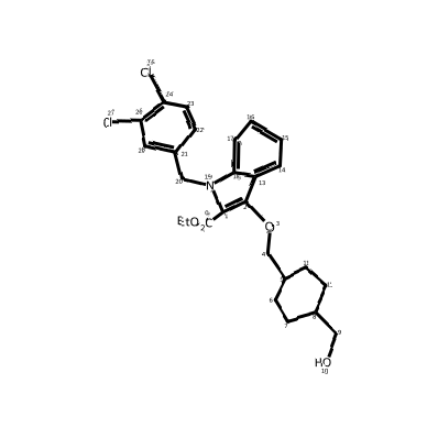 CCOC(=O)c1c(OCC2CCC(CO)CC2)c2ccccc2n1Cc1ccc(Cl)c(Cl)c1